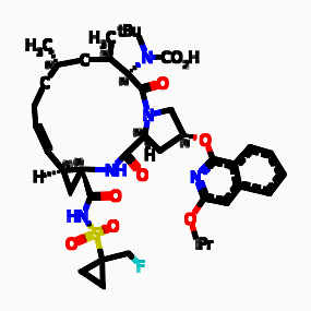 CC(C)Oc1cc2ccccc2c(O[C@@H]2C[C@H]3C(=O)N[C@]4(C(=O)NS(=O)(=O)C5(CF)CC5)C[C@H]4C=CCC[C@H](C)C[C@@H](C)[C@H](N(C(=O)O)C(C)(C)C)C(=O)N3C2)n1